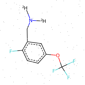 [2H]N([2H])Cc1cc(OC(F)(F)F)ccc1F